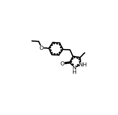 CCOc1ccc(Cc2c(C)[nH][nH]c2=O)cc1